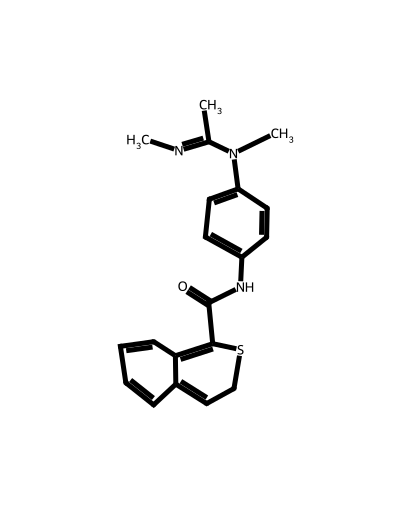 CN=C(C)N(C)c1ccc(NC(=O)C2=c3ccccc3=CCS2)cc1